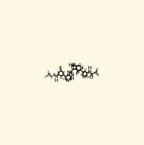 CN(C)CCNc1cc(F)cc(-c2cncc3[nH]c(-c4n[nH]c5cnc(-c6cncc(NC(=O)C7CC7)c6)c(F)c45)nc23)c1